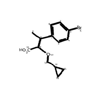 CC(c1ccc(Br)cc1)C(OCC1CC1)C(=O)O